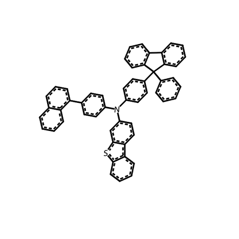 c1ccc(C2(c3ccc(N(c4ccc(-c5cccc6ccccc56)cc4)c4ccc5c(c4)sc4ccccc45)cc3)c3ccccc3-c3ccccc32)cc1